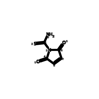 NC(=S)N1C(=O)C=CC1=O